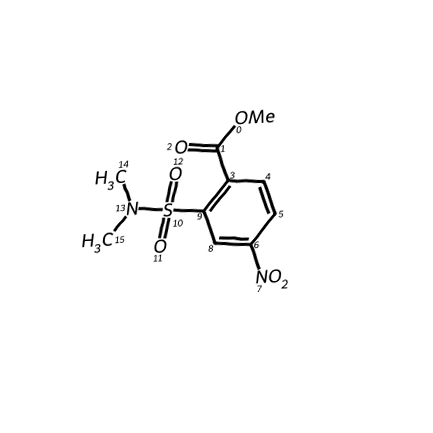 COC(=O)c1ccc([N+](=O)[O-])cc1S(=O)(=O)N(C)C